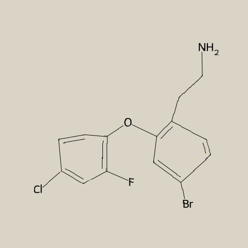 NCCc1ccc(Br)cc1Oc1ccc(Cl)cc1F